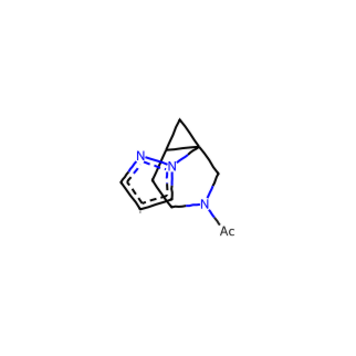 CC(=O)N1CCC2CC2(n2c[c]cn2)C1